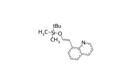 CC(C)(C)[Si](C)(C)OC=Cc1cccc2cccnc12